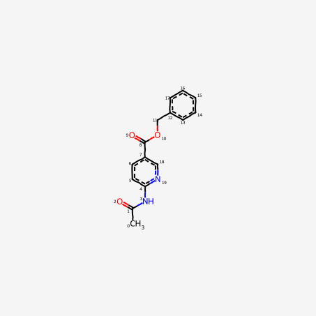 CC(=O)Nc1ccc(C(=O)OCc2ccccc2)cn1